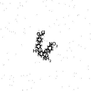 NC(=O)c1cnc(Nc2ccc(N3CCN(C(=O)CCl)CC3)cc2)cc1NCc1cccc([N+](=O)[O-])c1